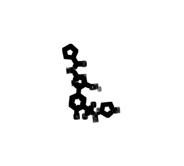 Cc1nc(NC(=O)C2CCCC2)sc1-c1ccc(Cl)c(S(=O)(=O)N[C@@H]2CCNC2)c1